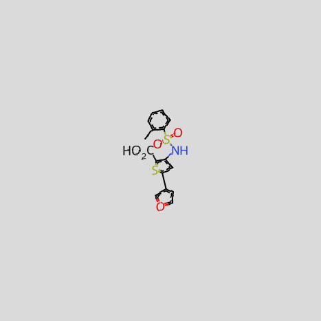 Cc1ccccc1S(=O)(=O)Nc1cc(-c2ccoc2)sc1C(=O)O